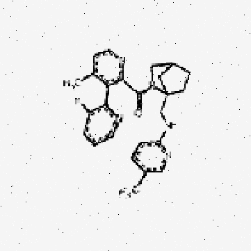 Cc1ccnc(C(=O)N2CC3CCC2(CNc2ccc(C(F)(F)F)cn2)C3)c1-c1ncccc1F